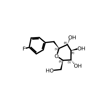 OC[C@H]1O[C@@H](Cc2ccc(F)cc2)[C@H](O)[C@@H](O)[C@@H]1O